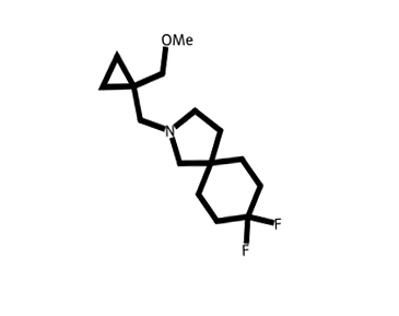 COCC1(CN2CCC3(CCC(F)(F)CC3)C2)CC1